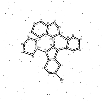 Brc1ccc2c(c1)c1c3ccccc3c3ccc4ccccc4c3c1n2-c1ccccc1